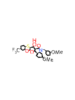 COc1cccc(Cn2c(=O)c3c(O)c(Sc4ccc(C(F)(F)F)cc4)c(=O)oc3c3ccc(OC)cc32)c1